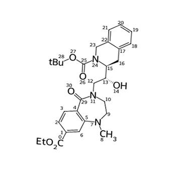 CCOC(=O)c1ccc2c(c1)N(C)CCN(C[C@@H](O)[C@@H]1Cc3ccccc3CN1C(=O)OC(C)(C)C)C2=O